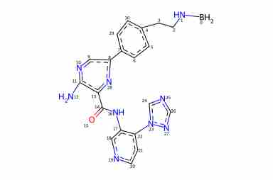 BNCCc1ccc(-c2cnc(N)c(C(=O)Nc3cnccc3-n3cncn3)n2)cc1